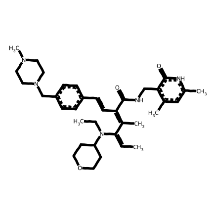 C\C=C(/C(C)=C(\C=C\c1ccc(CN2CCN(C)CC2)cc1)C(=O)NCc1c(C)cc(C)[nH]c1=O)N(CC)C1CCOCC1